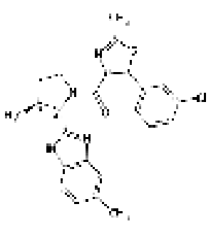 Cc1ccc2[nH]c([C@@H]3[C@@H](C)CCN3C(=O)c3nc(C)sc3-c3cccc(Cl)c3)nc2c1